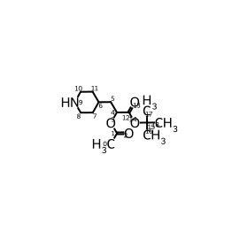 CC(=O)OC(CC1CCNCC1)C(=O)OC(C)(C)C